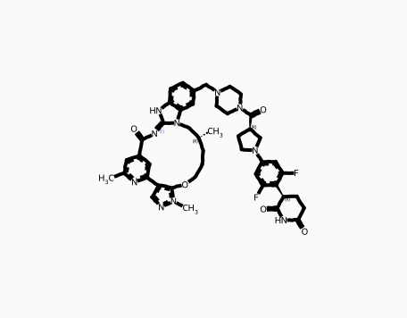 Cc1cc2cc(n1)-c1cnn(C)c1OCCC[C@@H](C)CN1/C(=N/C2=O)Nc2ccc(CN3CCN(C(=O)[C@@H]4CCN(c5cc(F)c([C@H]6CCC(=O)NC6=O)c(F)c5)C4)CC3)cc21